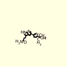 CC(C)(O)c1ccc(-c2cnc3[nH]cc(/C=C/C(N)=O)c3c2)cn1